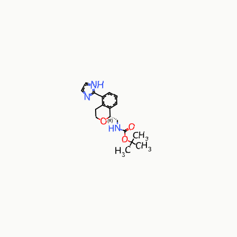 CC(C)(C)OC(=O)NC[C@@H]1OCCc2c(-c3ncc[nH]3)cccc21